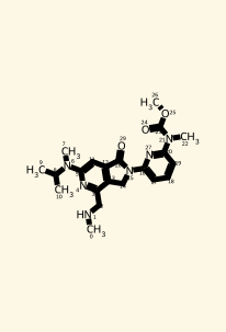 CNCc1nc(N(C)C(C)C)cc2c1CN(c1cccc(N(C)C(=O)OC)n1)C2=O